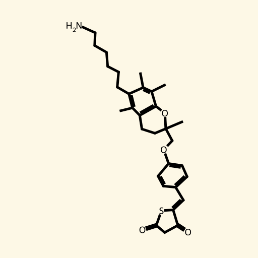 Cc1c(C)c2c(c(C)c1CCCCCCN)CCC(C)(COc1ccc(/C=C3\SC(=O)CC3=O)cc1)O2